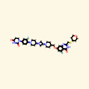 O=C1CCN(c2ccc(N3CCC(N4CC(N5CCC(COc6cc(F)c7c(=O)[nH]c(CSC8CCOCC8)nc7c6)CC5)C4)CC3)c(F)c2)C(=O)N1